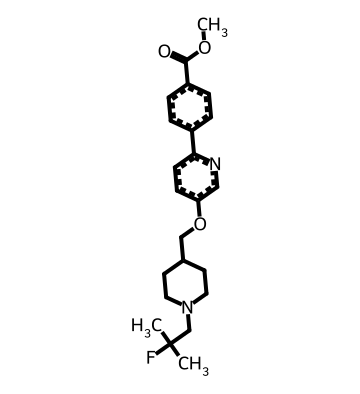 COC(=O)c1ccc(-c2ccc(OCC3CCN(CC(C)(C)F)CC3)cn2)cc1